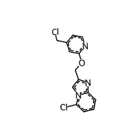 ClCc1ccnc(OCc2cn3c(Cl)cccc3n2)c1